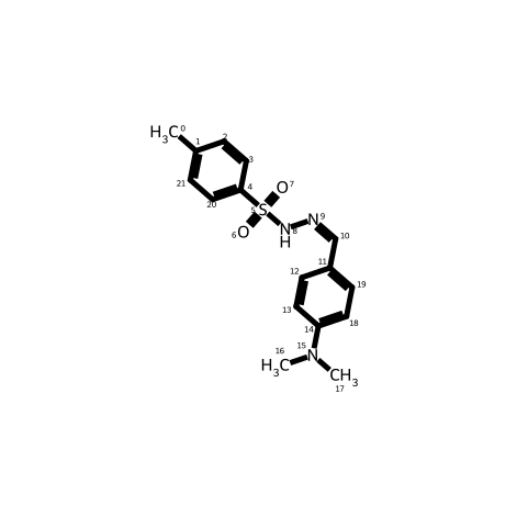 Cc1ccc(S(=O)(=O)N/N=C\c2ccc(N(C)C)cc2)cc1